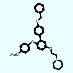 COc1ccc(Oc2ccc(OCCN3CCCCC3)cc2-c2ccc(OCc3ccccc3)cc2)cc1